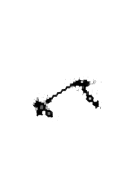 Cc1ncsc1-c1ccc(ONC(=O)[C@@H]2C[C@@H](O)CN2C(=O)C(NC(=O)CCCCCCCCCCNC(=O)C[C@@H]2N=C(c3ccc(Cl)cc3)c3c(sc(C)c3C)-n3c(C)nnc32)C(C)(C)C)cc1